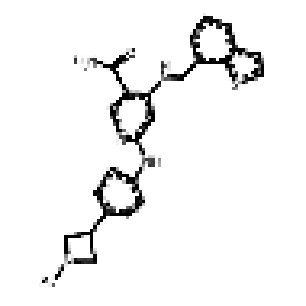 CC(=O)N1CC(c2ccc(Nc3cc(NCc4cccc5ccsc45)c(C(N)=O)cn3)cc2)C1